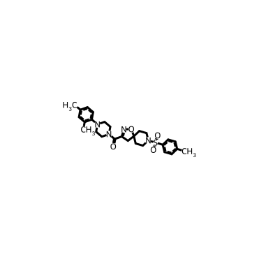 Cc1ccc(S(=O)(=O)N2CCC3(CC2)CC(C(=O)N2CCN(c4ccc(C)cc4C)CC2)=NO3)cc1